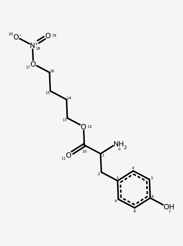 NC(Cc1ccc(O)cc1)C(=O)OCCCCO[N+](=O)[O-]